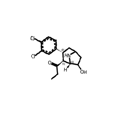 CCC(=O)[C@@H]1[C@@H]2NC(CC2O)C[C@H]1c1ccc(Cl)c(Cl)c1